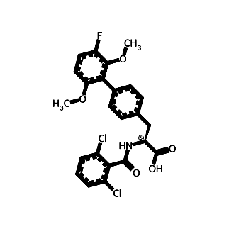 COc1ccc(F)c(OC)c1-c1ccc(C[C@H](NC(=O)c2c(Cl)cccc2Cl)C(=O)O)cc1